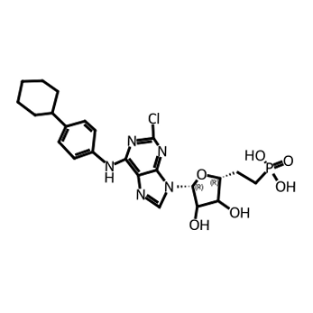 O=P(O)(O)CC[C@H]1O[C@@H](n2cnc3c(Nc4ccc(C5CCCCC5)cc4)nc(Cl)nc32)C(O)C1O